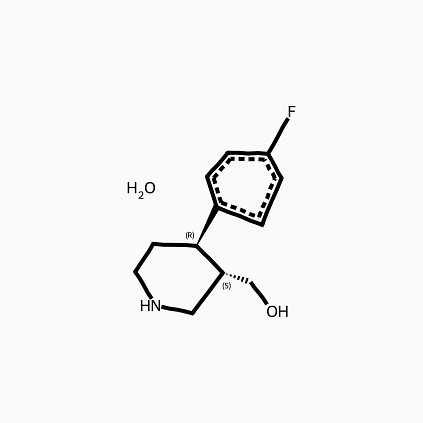 O.OC[C@@H]1CNCC[C@H]1c1ccc(F)cc1